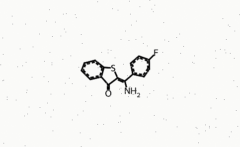 N/C(=C1/Sc2ccccc2C1=O)c1ccc(F)cc1